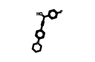 OC(C#Cc1ccc(N2CCCCC2)cc1)c1ccc(F)cc1